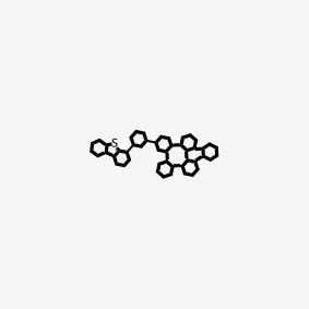 c1cc(-c2ccc3c(c2)c2ccccc2c2cccc4c5ccccc5c5cccc3c5c24)cc(-c2cccc3c2sc2ccccc23)c1